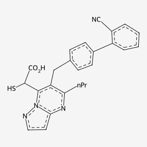 CCCc1nc2ccnn2c(C(S)C(=O)O)c1Cc1ccc(-c2ccccc2C#N)cc1